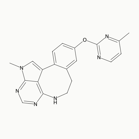 Cc1ccnc(Oc2ccc3c(c2)CCNc2ncnc4c2c-3cn4C)n1